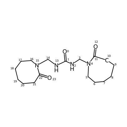 O=C(NCN1CCCCCCC1=O)NCN1CCCCCCC1=O